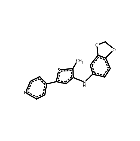 Cc1sc(-c2ccncc2)cc1Nc1ccc2c(c1)OCO2